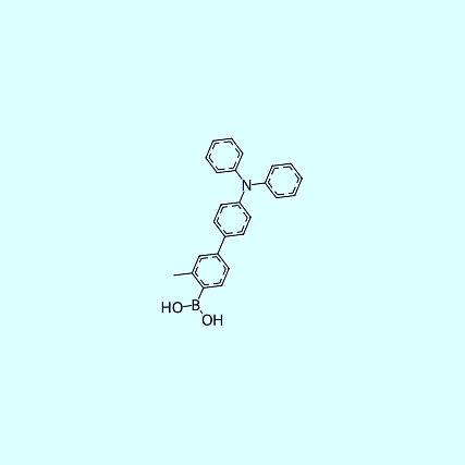 Cc1cc(-c2ccc(N(c3ccccc3)c3ccccc3)cc2)ccc1B(O)O